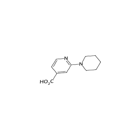 O=C(O)c1ccnc(N2CCCCC2)c1